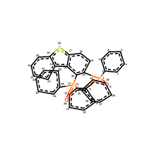 O=P(c1ccccc1)(c1ccccc1)c1ccc2sc3ccccc3c2c1P(=O)(c1ccccc1)c1ccccc1